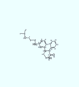 CC(C)OCCCNc1nccc(N2CCNC(=O)C2c2ccccc2)n1